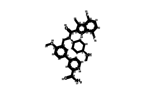 CN[C@H]1CC[C@H](N(Cc2cc(-c3ccnc(C(N)=O)c3)ccc2OC)C(=O)c2sc3c(F)ccc(F)c3c2C)CC1